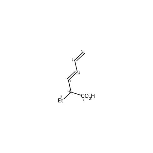 C=CC=CC(CC)C(=O)O